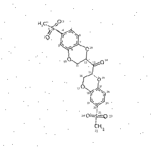 CS(=O)(=O)c1ccc2c(c1)OCC(C(=O)C1COc3cc(S(C)(=O)=O)ccc3O1)O2